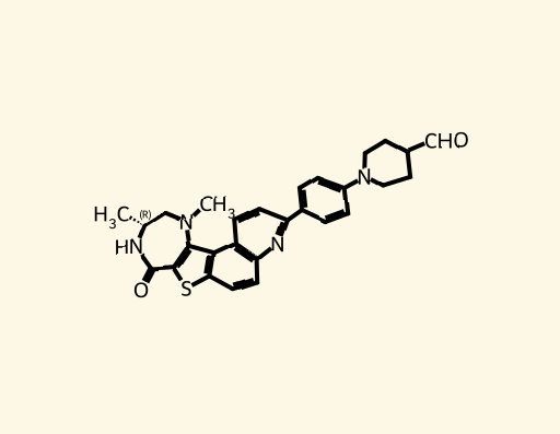 C[C@@H]1CN(C)c2c(sc3ccc4nc(-c5ccc(N6CCC(C=O)CC6)cc5)ccc4c23)C(=O)N1